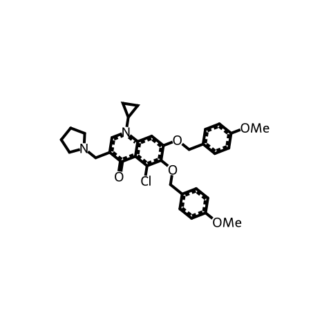 COc1ccc(COc2cc3c(c(Cl)c2OCc2ccc(OC)cc2)c(=O)c(CN2CCCC2)cn3C2CC2)cc1